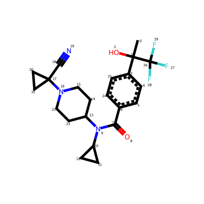 CC(O)(c1ccc(C(=O)N(C2CC2)C2CCN(C3(C#N)CC3)CC2)cc1)C(F)(F)F